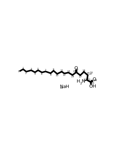 CCCCCCCCCCCCCCCC(=O)CC[C@H](C)[C@H](N)C(=O)O.[NaH]